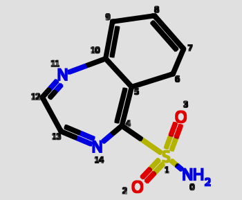 NS(=O)(=O)C1=C2CC=CC=C2N=CC=N1